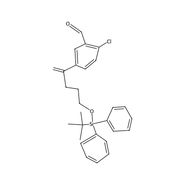 C=C(CCCO[Si](c1ccccc1)(c1ccccc1)C(C)(C)C)c1ccc(Cl)c(C=O)c1